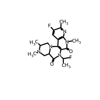 Cc1nc2c(cc1F)c1c(c(=O)n2C)N(C(C)F)C(=O)C2CN(C)C(C)CN12